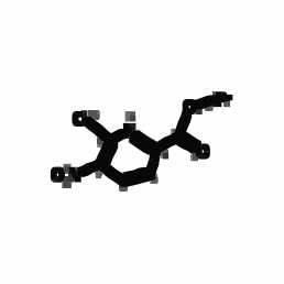 CC(C)OC(=O)c1ccc([N+](=O)[O-])c(Cl)n1